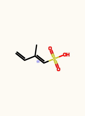 C=C/C(C)=C/S(=O)(=O)O